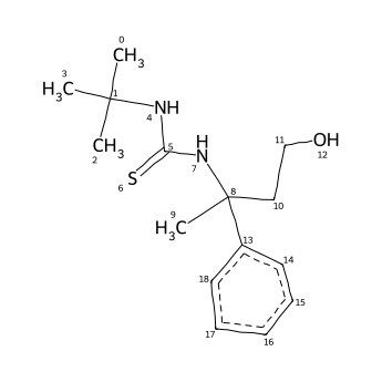 CC(C)(C)NC(=S)NC(C)(CCO)c1ccccc1